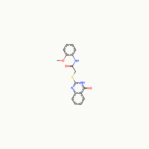 COc1ccccc1NC(=O)CSc1nc2ccccc2c(=O)[nH]1